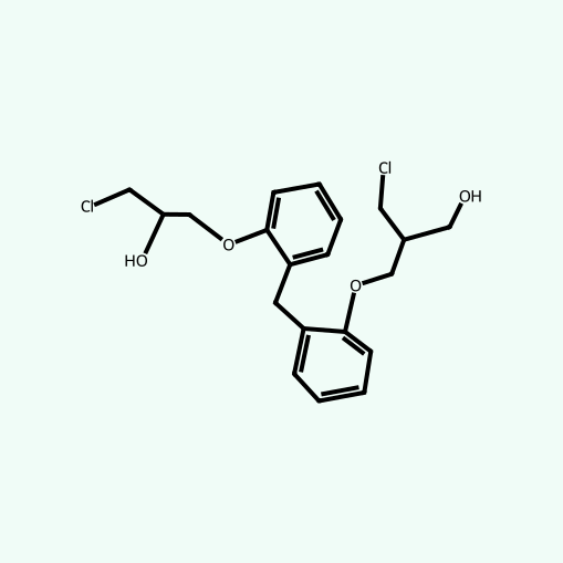 OCC(CCl)COc1ccccc1Cc1ccccc1OCC(O)CCl